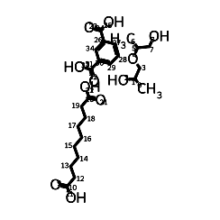 CC(O)COC(C)CO.O=C(O)CCCCCCCCC(=O)O.O=C(O)c1cccc(C(=O)O)c1